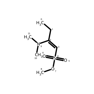 CCC(=CS(=O)(=O)OC)N(C)C